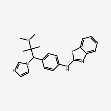 CN(C)C(C)(C)C(c1ccc(Nc2nc3ccccc3s2)cc1)n1ccnc1